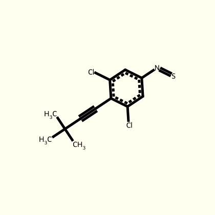 CC(C)(C)C#Cc1c(Cl)cc(N=S)cc1Cl